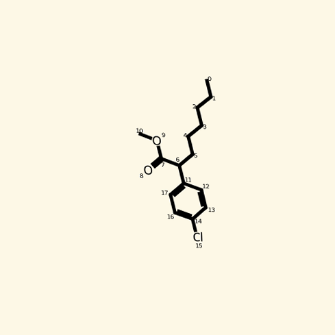 CCCCCCC(C(=O)OC)c1ccc(Cl)cc1